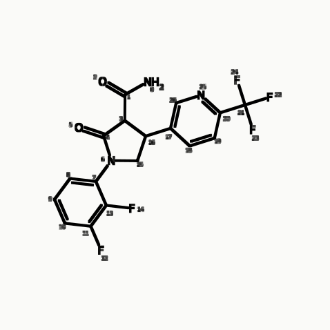 NC(=O)C1C(=O)N(c2cccc(F)c2F)CC1c1ccc(C(F)(F)F)nc1